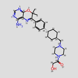 CC1(C)Oc2ncnc(N)c2N=C1c1ccc([C@H]2CC[C@H](CN3CCN(C(=O)CO)CC3)CC2)cc1